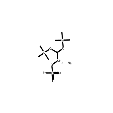 CCS(=O)(=O)O[SiH2]C(O[Si](C)(C)C)O[Si](C)(C)C.[Na]